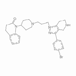 O=C1CCc2ccccc2N1C1CCN(CCCn2nc(-c3ccc(Br)cc3)c3c2CCNC3)CC1